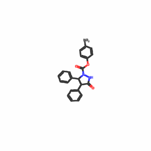 O=C1NN(C(=O)Oc2ccc([N+](=O)[O-])cc2)C(c2ccccc2)C1c1ccccc1